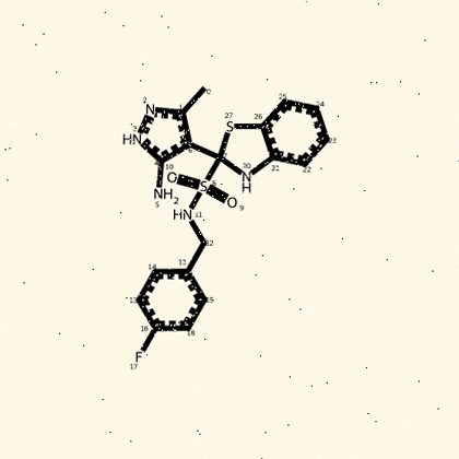 Cc1n[nH]c(N)c1C1(S(=O)(=O)NCc2ccc(F)cc2)Nc2ccccc2S1